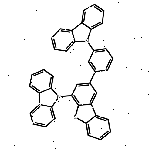 c1cc(-c2cc(-n3c4ccccc4c4ccccc43)c3sc4ccccc4c3c2)cc(-n2c3ccccc3c3ccccc32)c1